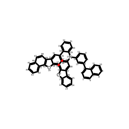 c1cc(-c2cccc3ccccc23)cc(N(c2ccc3oc4ccccc4c3c2)c2ccccc2-c2ccc3oc4c5ccccc5ccc4c3c2)c1